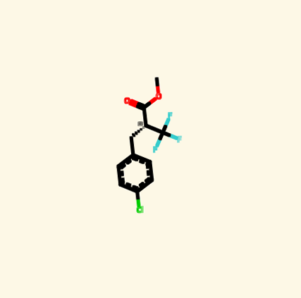 COC(=O)[C@@H](Cc1ccc(Cl)cc1)C(F)(F)F